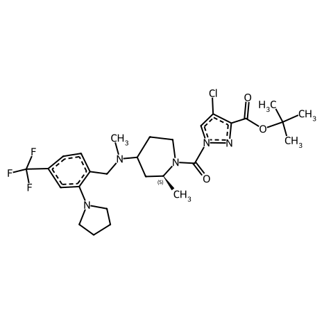 C[C@H]1CC(N(C)Cc2ccc(C(F)(F)F)cc2N2CCCC2)CCN1C(=O)n1cc(Cl)c(C(=O)OC(C)(C)C)n1